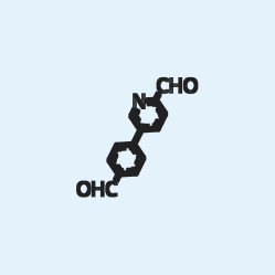 O=Cc1ccc(-c2ccc(C=O)nc2)cc1